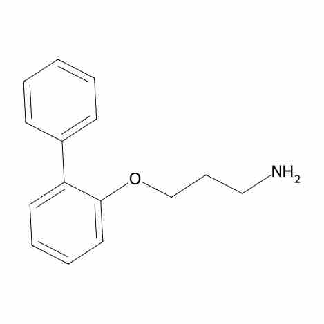 NCCCOc1ccccc1-c1ccccc1